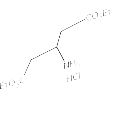 CCOC(=O)CC(N)CC(=O)OCC.Cl